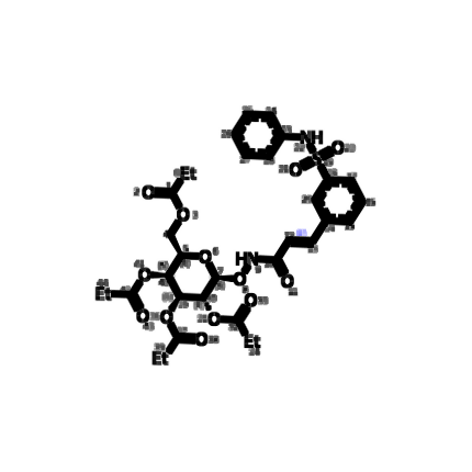 CCC(=O)OC[C@H]1O[C@@H](ONC(=O)/C=C/c2cccc(S(=O)(=O)Nc3ccccc3)c2)[C@H](OC(=O)CC)[C@@H](OC(=O)CC)[C@H]1OC(=O)CC